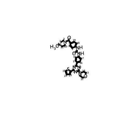 CN1CCN(C(=O)c2ccc(NC(=O)Nc3ccc(-c4nc(-c5cccs5)nc(N5CCOCC5)n4)cc3)cc2)CC1